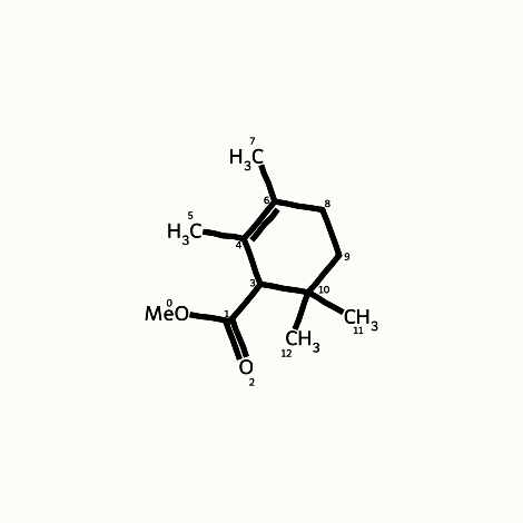 COC(=O)C1C(C)=C(C)CCC1(C)C